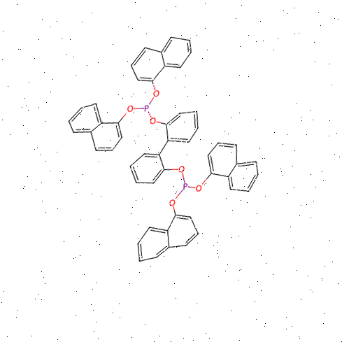 c1ccc(-c2ccccc2OP(Oc2cccc3ccccc23)Oc2cccc3ccccc23)c(OP(Oc2cccc3ccccc23)Oc2cccc3ccccc23)c1